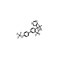 CC(C)(C)C(O)(c1cncnc1)c1ccc(-c2ccc(OC(F)(F)F)cc2)cc1C(F)(F)F